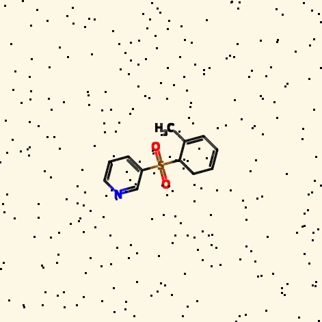 CC1=CC=CCC1S(=O)(=O)c1cccnc1